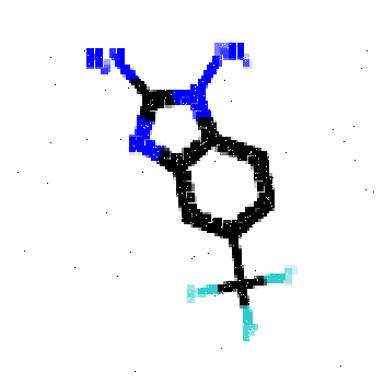 Nc1nc2cc(C(F)(F)F)ccc2n1N